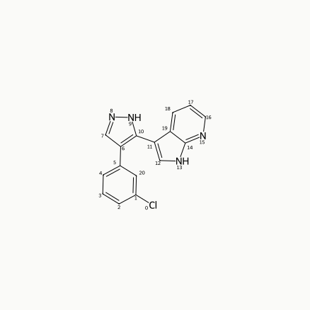 Clc1cccc(-c2cn[nH]c2-c2c[nH]c3ncccc23)c1